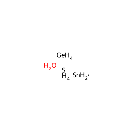 O.[GeH4].[SiH4].[SnH2]